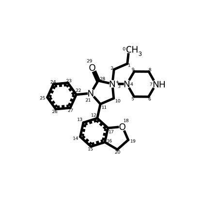 CCC[N+]1(N2CCNCC2)CC(c2cccc3c2OCC3)N(c2ccccc2)C1=O